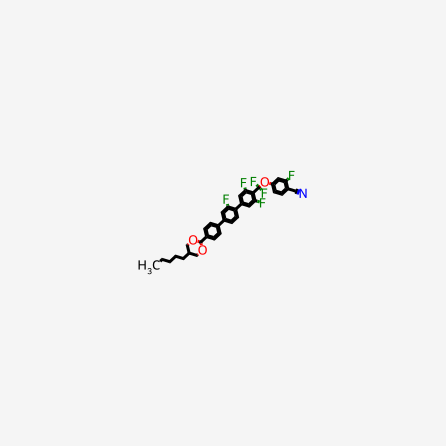 CCCCCC1COC(c2ccc(-c3ccc(-c4cc(F)c(C(F)(F)Oc5ccc(C#N)c(F)c5)c(F)c4)c(F)c3)cc2)OC1